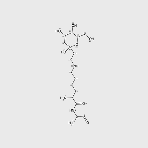 CC(C=O)NC(=O)C(N)CCCCNCCC1(O)CC(O)C(O)C(CO)O1